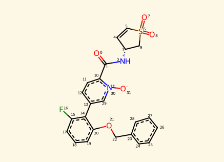 O=C(N[C@@H]1C=CS(=O)(=O)C1)c1ccc(-c2c(F)cccc2OCc2ccccc2)c[n+]1[O-]